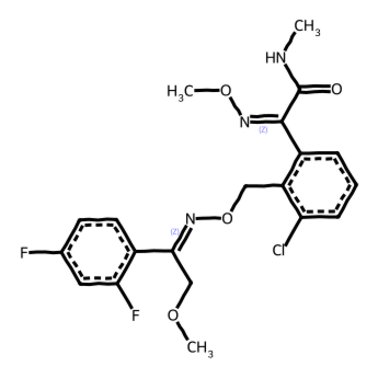 CNC(=O)/C(=N\OC)c1cccc(Cl)c1CO/N=C(\COC)c1ccc(F)cc1F